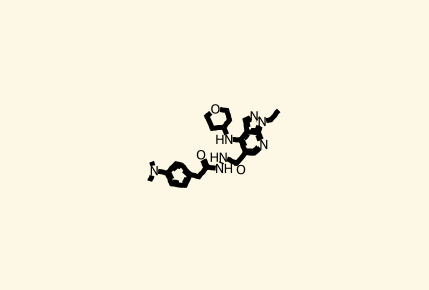 CCn1ncc2c(NC3CCOCC3)c(C(=O)NNC(=O)Cc3ccc(N(C)C)cc3)cnc21